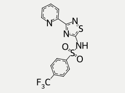 O=S(=O)(Nc1nc(-c2ccccn2)ns1)c1ccc(C(F)(F)F)cc1